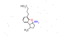 CC1CCC2(N)Oc3c(CCCC(=O)O)cccc3C12